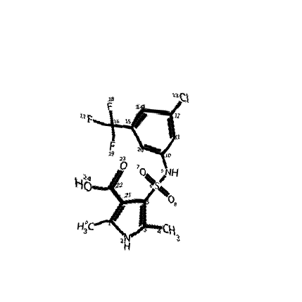 Cc1[nH]c(C)c(S(=O)(=O)Nc2cc(Cl)cc(C(F)(F)F)c2)c1C(=O)O